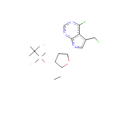 CC[C@H]1O[C@@H](n2cc(CCl)c3c(Cl)ncnc32)C[C@H]1O[Si](C)(C)C(C)(C)C